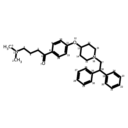 CN(C)CCCC(=O)c1ccc(OC2CCN(CC(c3ccccc3)c3ccccc3)CC2)cc1